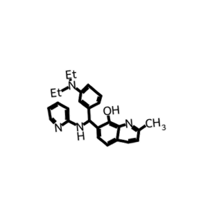 CCN(CC)c1cccc(C(Nc2ccccn2)c2ccc3ccc(C)nc3c2O)c1